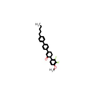 CCCCCc1ccc(-c2ccc(C3=CC(=O)C(c4ccc(OC)c(F)c4F)CC3)cc2)cc1